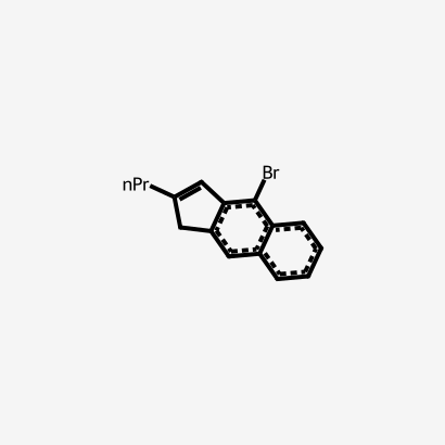 CCCC1=Cc2c(cc3ccccc3c2Br)C1